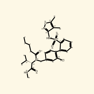 CCCCC(=O)N(Cc1ccc(-c2ccccc2S(=O)(=O)Nc2noc(C)c2C)c(Cl)c1)[C@H](C(=O)NC)C(C)C